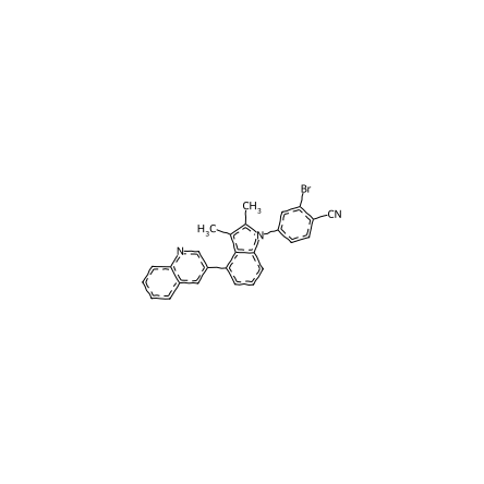 Cc1c(C)n(-c2ccc(C#N)c(Br)c2)c2cccc(-c3cnc4ccccc4c3)c12